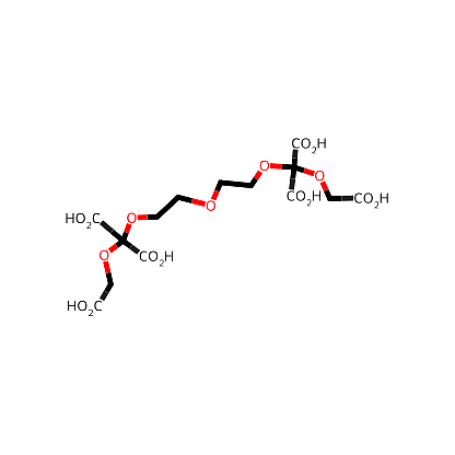 O=C(O)COC(OCCOCCOC(OCC(=O)O)(C(=O)O)C(=O)O)(C(=O)O)C(=O)O